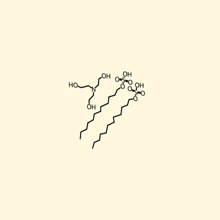 CCCCCCCCCCCCOS(=O)(=O)O.CCCCCCCCCCCCOS(=O)(=O)O.OCCN(CCO)CCO